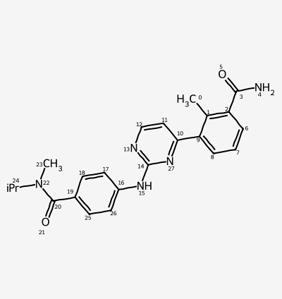 Cc1c(C(N)=O)cccc1-c1ccnc(Nc2ccc(C(=O)N(C)C(C)C)cc2)n1